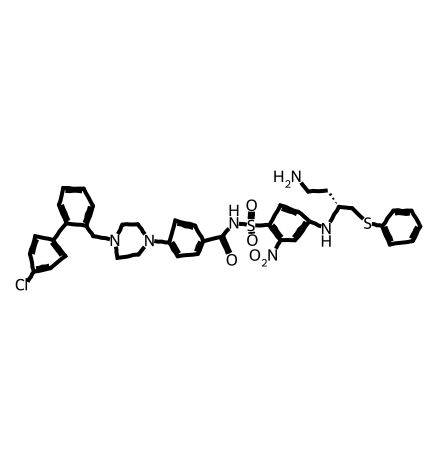 NCC[C@H](CSc1ccccc1)Nc1ccc(S(=O)(=O)NC(=O)c2ccc(N3CCN(Cc4ccccc4-c4ccc(Cl)cc4)CC3)cc2)c([N+](=O)[O-])c1